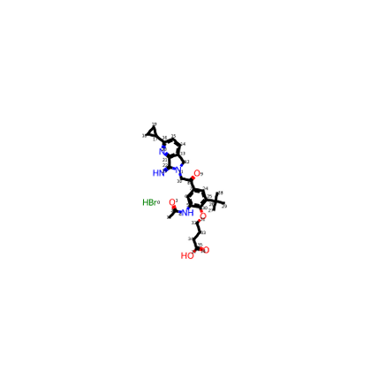 Br.CC(=O)Nc1cc(C(=O)CN2Cc3ccc(C4CC4)nc3C2=N)cc(C(C)(C)C)c1OCCCC(=O)O